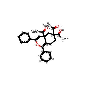 COC(=O)C12C=C(c3ccccc3)OC(c3ccccc3)=C1CCC(C(=O)OC)(C(=O)OC)C2